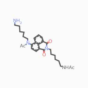 CC(=O)NCCCCCCN1C(=O)c2cccc3c(N(CCCCCCN)C(C)=O)ccc(c23)C1=O